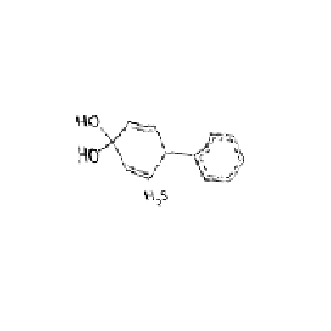 OC1(O)C=CC(c2ccccc2)C=C1.S